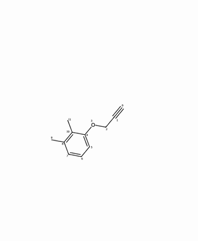 C#CCOc1cccc(C)c1C